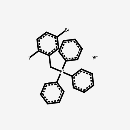 Brc1ccc(I)c(C[P+](c2ccccc2)(c2ccccc2)c2ccccc2)c1.[Br-]